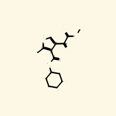 COC(=O)C(=O)c1coc(C)c1C(=O)NC1CCCCC1